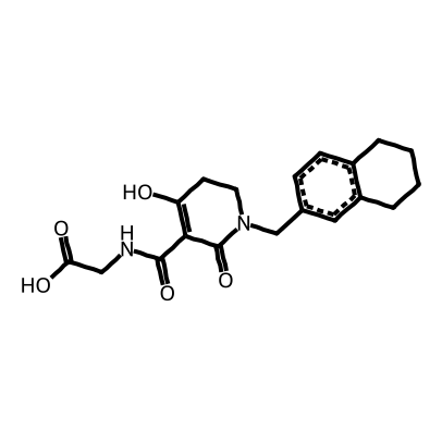 O=C(O)CNC(=O)C1=C(O)CCN(Cc2ccc3c(c2)CCCC3)C1=O